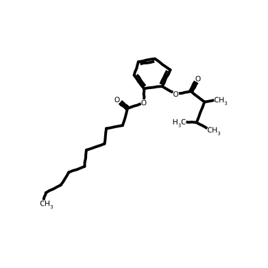 CCCCCCCCCC(=O)Oc1ccccc1OC(=O)C(C)C(C)C